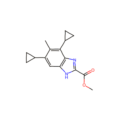 COC(=O)c1nc2c(C3CC3)c(C)c(C3CC3)cc2[nH]1